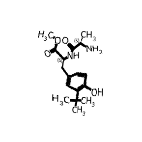 COC(=O)[C@H](Cc1ccc(O)c(C(C)(C)C)c1)NC(=O)[C@H](C)N